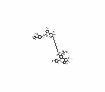 Cc1ncsc1-c1ccc(ONC(=O)[C@@H]2C[C@@H](O)CN2C(=O)[C@@H](NC(=O)CCCCCCCCCCNC(=O)c2cc3c(cc2CS(C)(=O)=O)-c2cn(C)c(=O)c4[nH]cc(c24)CN3c2ncc(F)cc2F)C(C)(C)C)cc1